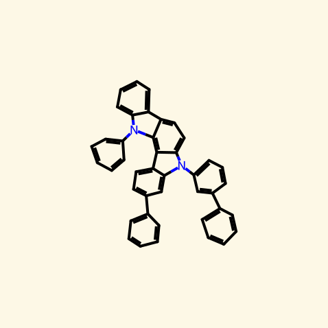 c1ccc(-c2cccc(-n3c4cc(-c5ccccc5)ccc4c4c3ccc3c5ccccc5n(-c5ccccc5)c34)c2)cc1